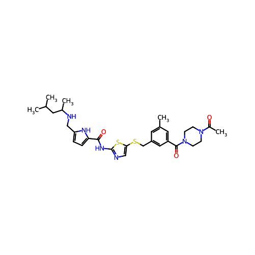 CC(=O)N1CCN(C(=O)c2cc(C)cc(CSc3cnc(NC(=O)c4ccc(CNC(C)CC(C)C)[nH]4)s3)c2)CC1